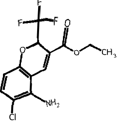 CCOC(=O)C1=Cc2c(ccc(Cl)c2N)OC1C(F)(F)F